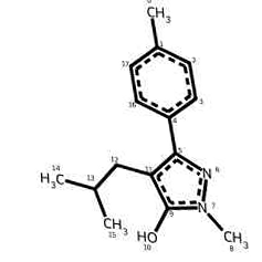 Cc1ccc(-c2nn(C)c(O)c2CC(C)C)cc1